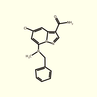 CN(Cc1ccccc1)c1cc(Cl)cc2c(C(N)=O)cnn12